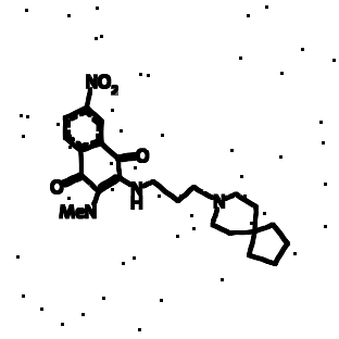 CNC1=C(NCCCN2CCC3(CCCC3)CC2)C(=O)c2cc([N+](=O)[O-])ccc2C1=O